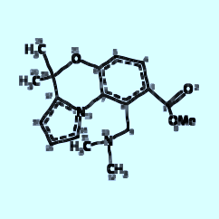 COC(=O)c1ccc2c(c1CN(C)C)-n1cccc1C(C)(C)O2